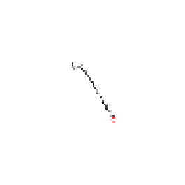 CCCCCCCCCCCCCCCCCC=CC=O